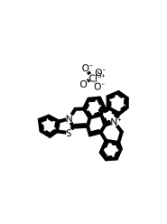 C(=C1c2ccccc2C[n+]2c1sc1ccccc12)C1=C2Sc3ccccc3N2Cc2ccccc21.[O-][Cl+3]([O-])([O-])[O-]